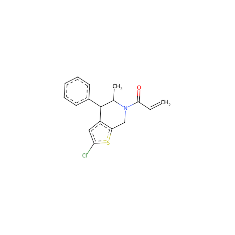 C=CC(=O)N1Cc2sc(Cl)cc2C(c2ccccc2)C1C